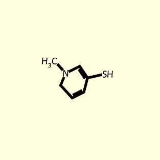 CN1C=C(S)C=CC1